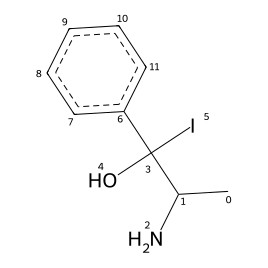 CC(N)C(O)(I)c1ccccc1